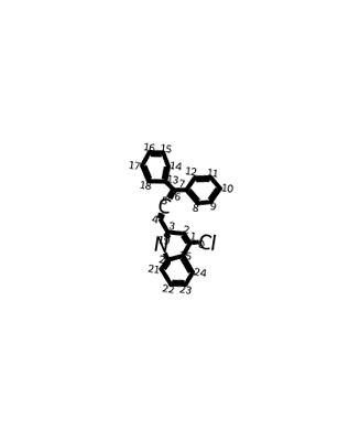 Clc1cc(C=C=C(c2ccccc2)c2ccccc2)nc2ccccc12